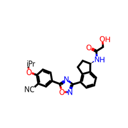 CC(C)Oc1ccc(-c2nc(-c3cccc4c3CC[C@@H]4NC(=O)CO)no2)cc1C#N